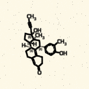 CC#C[C@@]1(O)CC[C@H]2[C@@H]3CCC4=CC(=O)CCC4=C3[C@@H](c3ccc(O)c(C)c3)C[C@@]21C